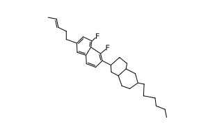 CC=CCCc1cc(F)c2c(F)c(C3CCC4CC(CCCCCC)CCC4C3)ccc2c1